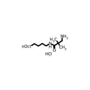 CCCCCCCCCCCCNC(=O)C(C)(C)CN.Cl